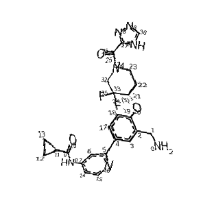 NCc1cc(-c2cc(NC(=O)C3CC3)ccn2)ccc1O[C@H]1CCN(C(=O)c2nnc[nH]2)CC1(F)F